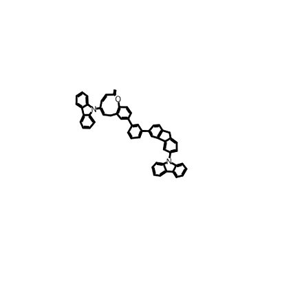 C=C1/C=C\C(n2c3ccccc3c3ccccc32)=C/Cc2cc(-c3cccc(-c4ccc5c(c4)-c4cc(-n6c7ccccc7c7ccccc76)ccc4C5)c3)ccc2O1